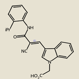 CC(C)c1ccccc1NC(=O)/C(C#N)=C/c1cn(CC(=O)O)c2ccccc12